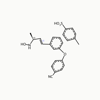 C[C@@H](/C=C/c1cccc(Oc2ccc(C#N)cc2)c1)NO.Cc1ccc(S(=O)(=O)O)cc1